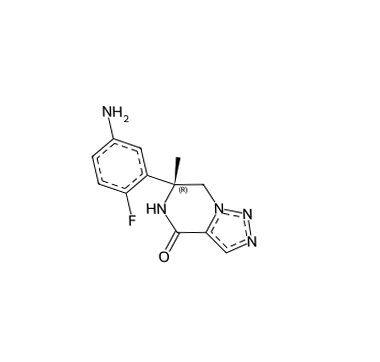 C[C@@]1(c2cc(N)ccc2F)Cn2nncc2C(=O)N1